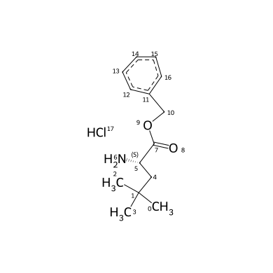 CC(C)(C)C[C@H](N)C(=O)OCc1ccccc1.Cl